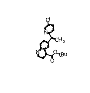 C=C(c1ccc2nccc(C(=O)OC(C)(C)C)c2c1)c1ccc(Cl)cn1